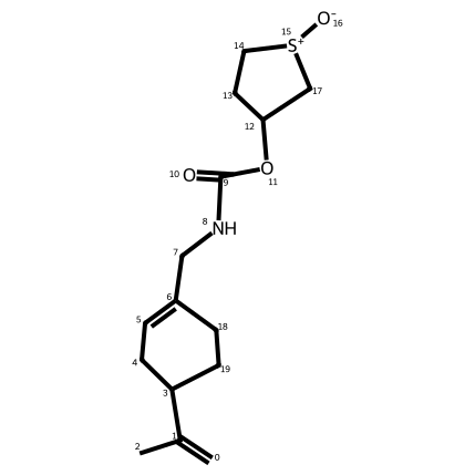 C=C(C)C1CC=C(CNC(=O)OC2CC[S+]([O-])C2)CC1